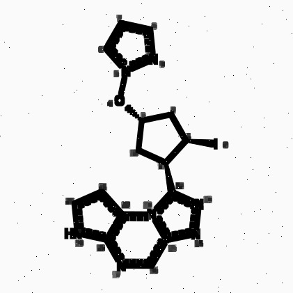 I[C@@H]1C[C@@H](On2cccn2)C[C@@H]1c1nnc2cnc3[nH]ccc3n12